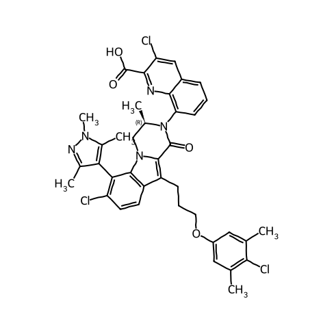 Cc1cc(OCCCc2c3n(c4c(-c5c(C)nn(C)c5C)c(Cl)ccc24)C[C@@H](C)N(c2cccc4cc(Cl)c(C(=O)O)nc24)C3=O)cc(C)c1Cl